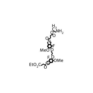 CCOC(=O)CCC(=O)N1Cc2cc(OC)c(OCCCOc3c(OC)cc4c(c3F)CN(C(=O)CCC(=O)O[C@@H](C)CN)C4)c(F)c2C1